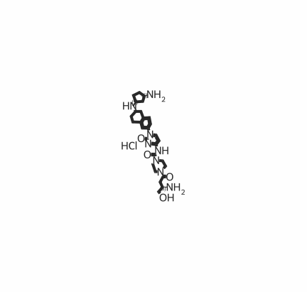 Cl.N[C@H](CO)CC(=O)N1CCN(C(=O)Nc2ccn(-c3ccc4c(c3)CCC(N[C@H]3CC[C@H](N)C3)C4)c(=O)n2)CC1